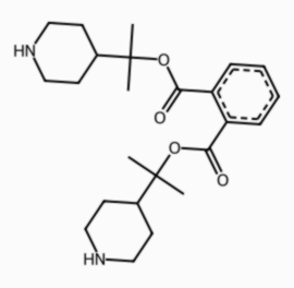 CC(C)(OC(=O)c1ccccc1C(=O)OC(C)(C)C1CCNCC1)C1CCNCC1